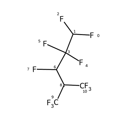 FC(F)C(F)(F)C(F)[C](C(F)(F)F)C(F)(F)F